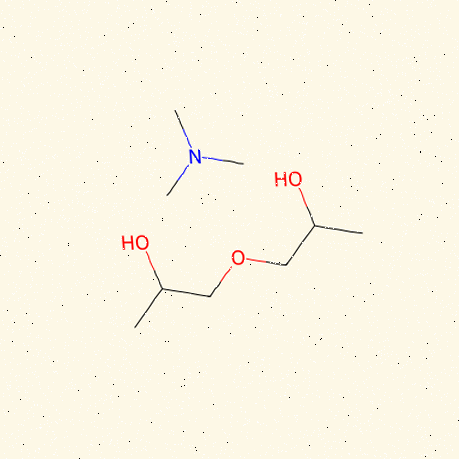 CC(O)COCC(C)O.CN(C)C